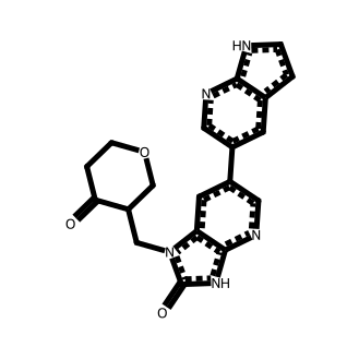 O=C1CCOCC1Cn1c(=O)[nH]c2ncc(-c3cnc4[nH]ccc4c3)cc21